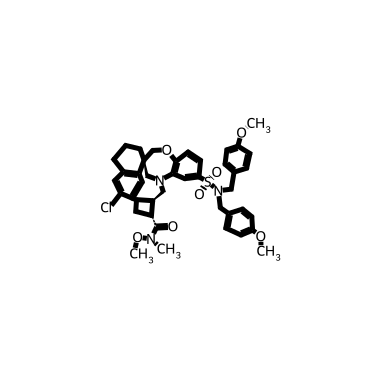 COc1ccc(CN(Cc2ccc(OC)cc2)S(=O)(=O)c2ccc3c(c2)N(C[C@@H]2CC[C@H]2C(=O)N(C)OC)C[C@@]2(CCCc4cc(Cl)ccc42)CO3)cc1